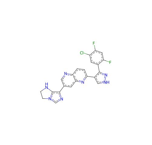 Fc1cc(F)c(-c2n[nH]cc2-c2ccc3ncc(-c4ncn5c4NCC5)cc3n2)cc1Cl